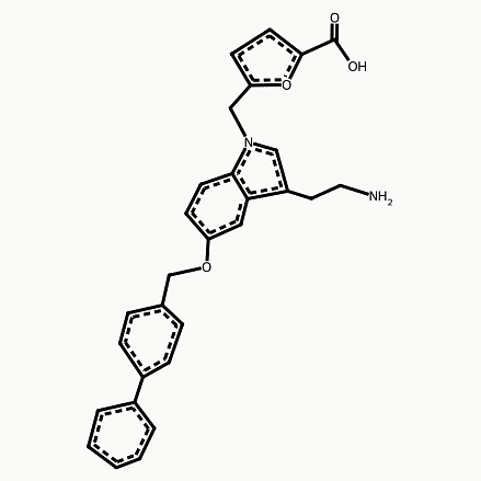 NCCc1cn(Cc2ccc(C(=O)O)o2)c2ccc(OCc3ccc(-c4ccccc4)cc3)cc12